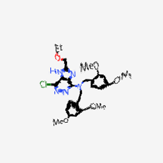 CCOCc1nc2c(N(Cc3ccc(OC)cc3OC)Cc3ccc(OC)cc3OC)nnc(Cl)c2[nH]1